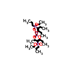 CCCP(=O)(OCC)C(CC)=C(CC)O[PH](=O)OC(CC)=C(CC)P(=O)(CCC)OCC